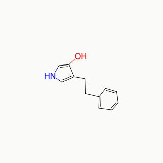 Oc1c[nH]cc1CCc1ccccc1